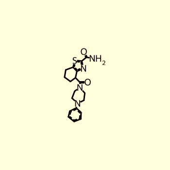 NC(=O)c1nc2c(s1)CCCC2C(=O)N1CCN(c2ccccc2)CC1